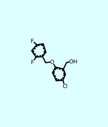 OCc1cc(Cl)ccc1OCc1ccc(F)cc1F